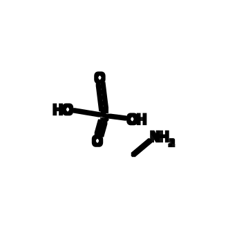 CN.O=S(=O)(O)O